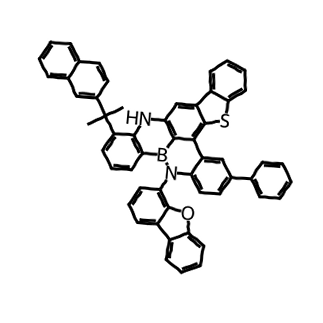 CC(C)(c1ccc2ccccc2c1)c1cccc2c1Nc1cc3c(sc4ccccc43)c3c1B2N(c1cccc2c1oc1ccccc12)c1ccc(-c2ccccc2)cc1-3